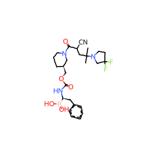 CC(C)(CC(C#N)C(=O)N1CCC[C@H](COC(=O)N[C@@H](Cc2ccccc2)B(O)O)C1)N1CCC(F)(F)C1